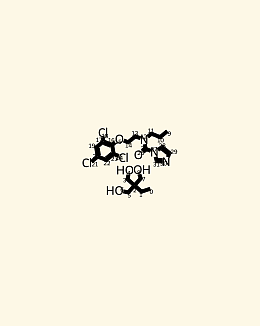 CCC(CO)(CO)CO.CCCN(CCOc1c(Cl)cc(Cl)cc1Cl)C(=O)n1ccnc1